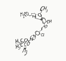 CCOc1cc(O)c(C(=O)/C=C/c2ccc(N3CCN(C(=O)OC(C)(C)C)CC3)cc2Cl)cc1CN1CCC[C@@H]1COC